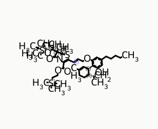 C=C(C)[C@@H]1CCC(C)=C[C@H]1c1c(O)cc(CCCCC)cc1OC/C=C/C1=C(C(=O)OCC[Si](C)(C)C)N2C(=O)[C@](C)([C@@H](C)O[Si](C)(C)C(C)(C)C)[C@H]2S1